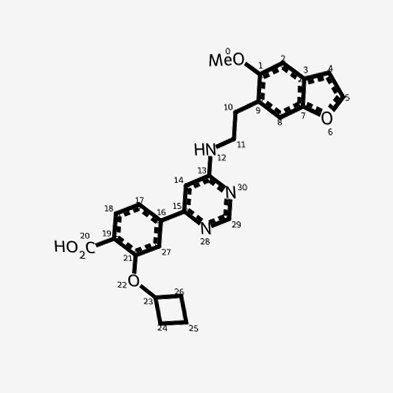 COc1cc2ccoc2cc1CCNc1cc(-c2ccc(C(=O)O)c(OC3CCC3)c2)ncn1